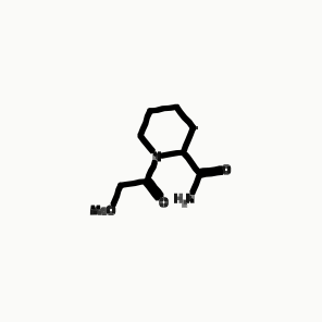 COCC(=O)N1CCC[CH]C1C(N)=O